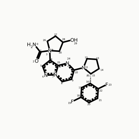 NC(=O)[N+]1(c2cnn3ccc(N4CCC[C@@H]4c4cc(F)ccc4F)nc23)CCC(O)C1